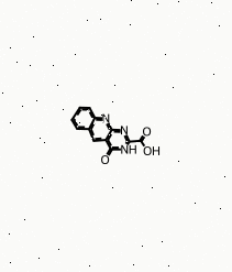 O=C(O)c1nc2nc3ccccc3cc2c(=O)[nH]1